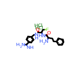 Cl.Cl.N=C(N)c1ccc(CNC(=O)C(CF)NC(=O)C(N)CCc2ccccc2)cc1